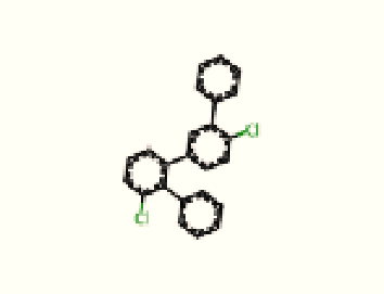 Clc1ccc(-c2[c]ccc(Cl)c2-c2ccccc2)cc1-c1ccccc1